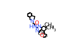 Cc1nc(NC(=O)CN2CCc3ccccc3C2)nc2c1C(=C1CC=CO1)CC(C)(C)C2